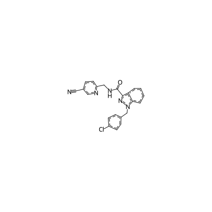 N#Cc1ccc(CNC(=O)c2nn(Cc3ccc(Cl)cc3)c3ccccc23)nc1